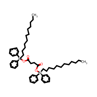 CCCCCCCCCCCC[Si](OC(=O)CCC(=O)O[Si](CCCCCCCCCCCC)(c1ccccc1)c1ccccc1)(c1ccccc1)c1ccccc1